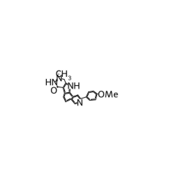 COc1ccc(-c2cc3c(ccc4c5c([nH]c43)CN(C)NC5=O)cn2)cc1